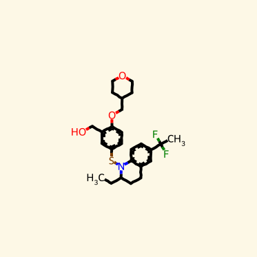 CCC1CCc2cc(C(C)(F)F)ccc2N1Sc1ccc(OCC2CCOCC2)c(CO)c1